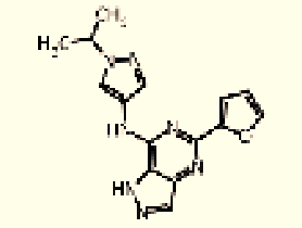 CC(C)n1cc(Nc2nc(-c3ccco3)nc3cn[nH]c23)cn1